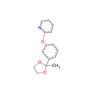 CC1(c2cccc(Oc3ccccn3)c2)OCCO1